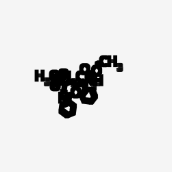 CCOC(=O)NC(C)(c1ccccc1F)C(CC(C#N)S(C)(=O)=O)OCc1ccccc1